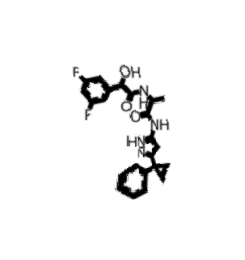 CC(NC(=O)C(O)c1cc(F)cc(F)c1)C(=O)Nc1cc(C2(c3ccccc3)CC2)n[nH]1